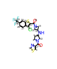 O=C(c1cscn1)N1CC[C@H](NC2CN(C(=O)c3sc4cc(C(F)(F)F)ccc4c3Cl)C2)C1